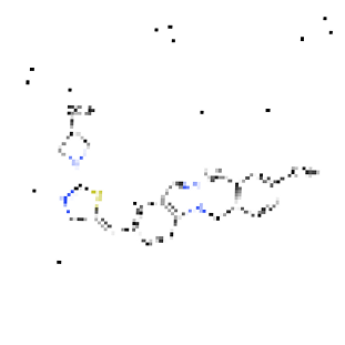 COc1ccc(Cn2ncc3cc(C=C4CN=C(N5CC(C(=O)O)C5)S4)ccc32)c(C(F)(F)F)c1